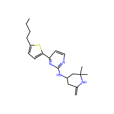 C=C1CC(Nc2nccc(-c3ccc(CCCC)s3)n2)CC(C)(C)N1